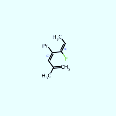 C=C(C)/C=C(\C(F)=C/C)C(C)C